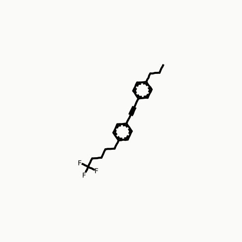 CCCc1ccc(C#Cc2ccc(CCCCC(F)(F)F)cc2)cc1